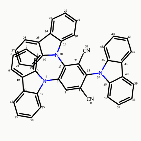 N#Cc1cc(-n2c3ccccc3c3ccccc32)c(-n2c3ccccc3c3ccccc32)c(C#N)c1-n1c2ccccc2c2ccccc21